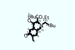 CCCCOc1c2cc(=O)c(C)cc-2cn(CC(C)(C)C)c1C(=O)OCC